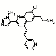 Cn1cncc1-c1cc(/C=C/c2ccnnc2)c2cc(CCN)c(Cl)cc2n1